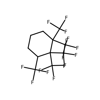 FC(F)(F)C1CCCC(C(F)(F)F)(C(F)(F)F)C1(C(F)(F)F)C(F)(F)F